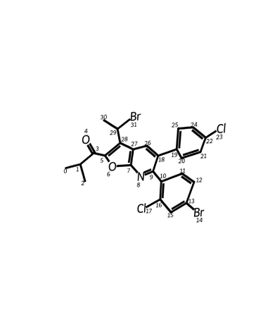 CC(C)C(=O)c1oc2nc(-c3ccc(Br)cc3Cl)c(-c3ccc(Cl)cc3)cc2c1C(C)Br